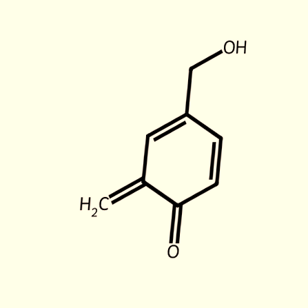 C=C1C=C(CO)C=CC1=O